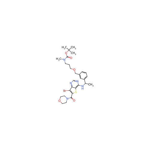 CC(Nc1ncnc2c(Br)c(C(=O)N3CCOCC3)sc12)c1cccc(COCCCN(C)C(=O)OC(C)(C)C)c1